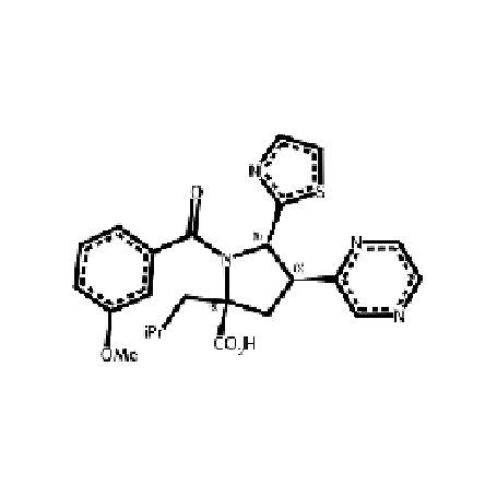 COc1cccc(C(=O)N2[C@@H](c3nccs3)[C@@H](c3cnccn3)C[C@@]2(CC(C)C)C(=O)O)c1